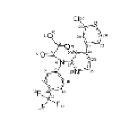 COC(=O)C(=O)N(c1ccc(C(F)(F)F)cc1)c1nccc(-c2cccc(Cl)c2)n1